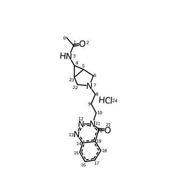 CC(=O)NC1C2CN(CCCn3nnc4ccccc4c3=O)CC21.Cl